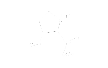 COC(=O)C1NCCC1OC.Cl